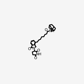 O=C1CCC(N2Cc3c(CCCCCCCC(=O)NC45CC6CC(CC(C6)C4)C5)cccc3C2=O)C(=O)N1